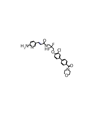 Nc1ccc(/C=C/C(=O)NCC(F)(F)COc2ccc(-c3ccc(C(=O)N4CCOCC4)cc3)cc2Cl)cn1